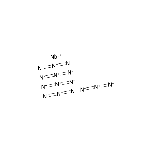 [N-]=[N+]=[N-].[N-]=[N+]=[N-].[N-]=[N+]=[N-].[N-]=[N+]=[N-].[N-]=[N+]=[N-].[Nb+5]